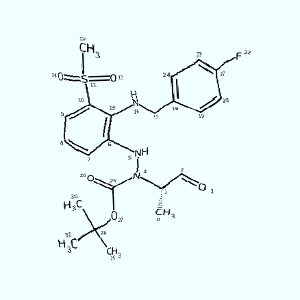 C[C@@H](C=O)N(Nc1cccc(S(C)(=O)=O)c1NCc1ccc(F)cc1)C(=O)OC(C)(C)C